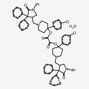 CC(C)N1CC(CN2CCC(OC(=O)C(=O)OC3(c4ccc(Cl)cc4)CCN(CC4CN(C(C)C)C(=O)C4(c4ccccc4)c4ccccc4)CC3)(c3ccc(Cl)cc3)CC2)C(c2ccccc2)(c2ccccc2)C1=O.O